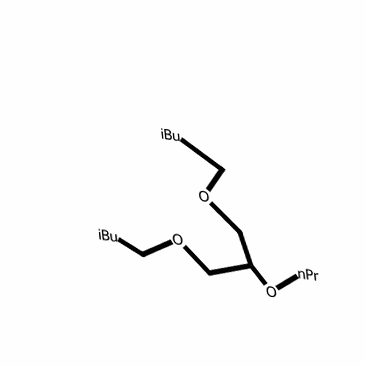 CCCOC(COCC(C)CC)COCC(C)CC